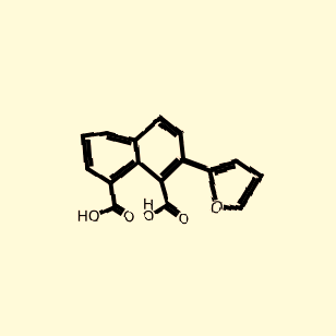 O=C(O)c1cccc2ccc(-c3ccco3)c(C(=O)O)c12